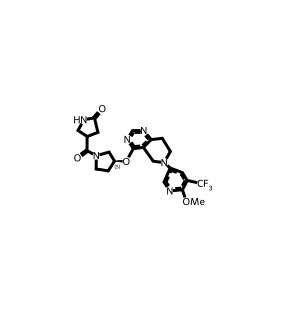 COc1ncc(N2CCc3ncnc(O[C@H]4CCN(C(=O)C5CNC(=O)C5)C4)c3C2)cc1C(F)(F)F